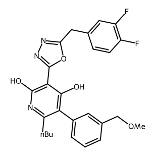 CCCCc1nc(O)c(-c2nnc(Cc3ccc(F)c(F)c3)o2)c(O)c1-c1cccc(COC)c1